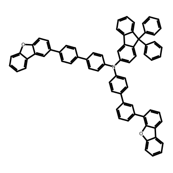 c1ccc(C2(c3ccccc3)c3ccccc3-c3cc(N(c4ccc(-c5ccc(-c6ccc7oc8ccccc8c7c6)cc5)cc4)c4ccc(-c5cccc(-c6cccc7c6oc6ccccc67)c5)cc4)ccc32)cc1